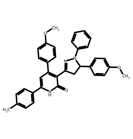 COc1ccc(-c2cc(-c3ccc(C)cc3)[nH]c(=O)c2C2=NN(c3ccccc3)C(c3ccc(OC)cc3)C2)cc1